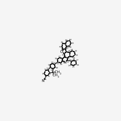 CC1(C)c2cc(C#N)ccc2-c2ccc(-c3ccc4c(c3)nc(-c3ccccc3)c3c5ccccc5c5c(oc6ccc7ccccc7c65)c43)cc21